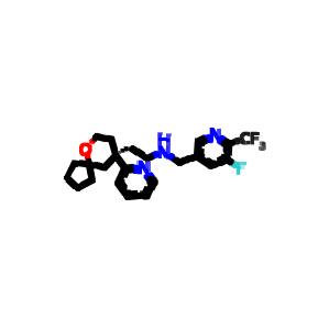 Fc1cc(CNCC[C@@]2(c3ccccn3)CCOC3(CCCC3)C2)cnc1C(F)(F)F